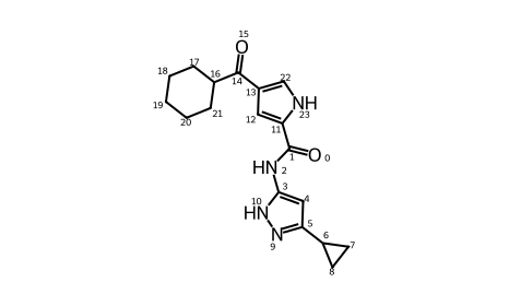 O=C(Nc1cc(C2CC2)n[nH]1)c1cc(C(=O)C2CCCCC2)c[nH]1